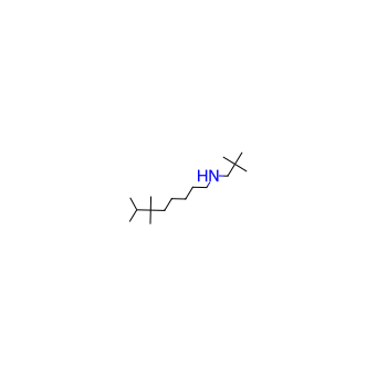 CC(C)C(C)(C)CCCCCNCC(C)(C)C